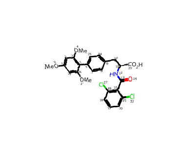 COc1cc(OC)c(-c2ccc(C[C@H](NC(=O)c3c(Cl)cccc3Cl)C(=O)O)cc2)c(OC)c1